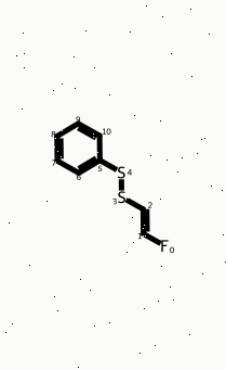 FC=CSSc1ccccc1